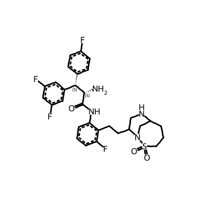 N[C@H](C(=O)Nc1cccc(F)c1CCC1CNC2CCCS(=O)(=O)N1C2)[C@@H](c1ccc(F)cc1)c1cc(F)cc(F)c1